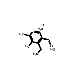 Cc1ncc(CO)c(CN)c1O.Cl.Cl.O